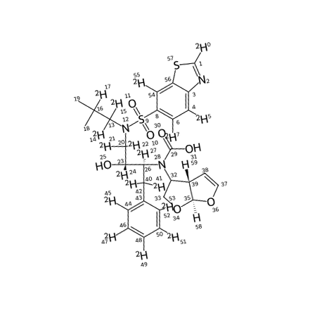 [2H]c1nc2c([2H])c([2H])c(S(=O)(=O)N(C([2H])([2H])C([2H])(C)C)C([2H])([2H])[C@@]([2H])(O)[C@@]([2H])(N(C(=O)O)C3CO[C@@H]4OC=C[C@@H]34)C([2H])([2H])c3c([2H])c([2H])c([2H])c([2H])c3[2H])c([2H])c2s1